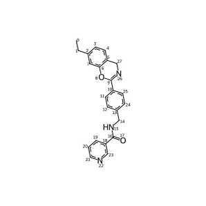 CCc1ccc2c(c1)OC(c1ccc(CNC(=O)c3cccnc3)cc1)=NC2